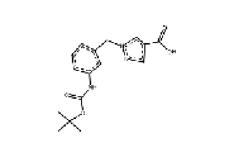 CC(C)(C)OC(=O)Nc1cccc(Cn2cc(C(=O)O)cn2)c1